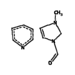 CN1C=CN(C=O)C1.c1ccncc1